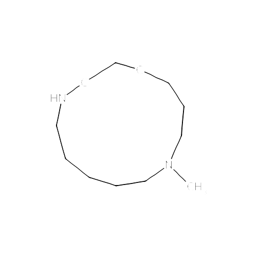 CN1CCCCCCNCCCCC1